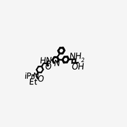 CCC(=O)N(C(C)C)C1CCC(CC(=O)Nc2cnc(-c3ccc(C4(N)CC(C)(O)C4)cc3)c(-c3ccccc3)c2)CC1